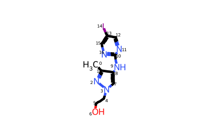 Cc1nn(CCO)cc1Nc1ncc(I)cn1